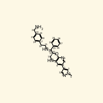 Cn1cc(-c2cnc3c(c2)NC[C@@H]([C@H](NCCc2ccc(CN)cc2)c2ccccc2)O3)cn1